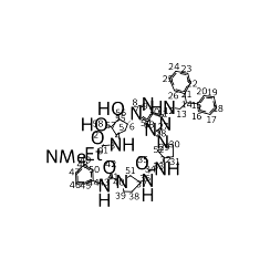 CCC(=O)N[C@H]1C[C@@H](n2cnc3c(NCC(c4ccccc4)c4ccccc4)nc(N4CC[C@@H](NC(=O)N[C@@H]5CCN(C(=O)Nc6cccc(NC)c6)C5)C4)nc32)[C@H](O)[C@@H]1O